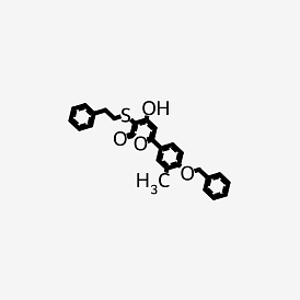 Cc1cc(-c2cc(O)c(SCCc3ccccc3)c(=O)o2)ccc1OCc1ccccc1